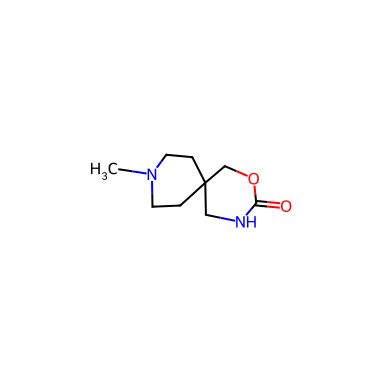 CN1CCC2(CC1)CNC(=O)OC2